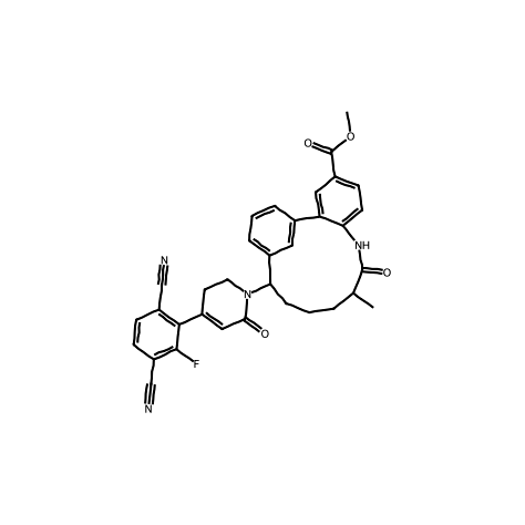 COC(=O)c1ccc2c(c1)-c1cccc(c1)C(N1CCC(c3c(C#N)ccc(C#N)c3F)=CC1=O)CCCC(C)C(=O)N2